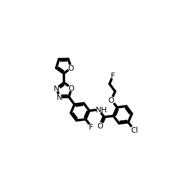 O=C(Nc1cc(-c2nnc(-c3ccco3)o2)ccc1F)c1cc(Cl)ccc1OCCF